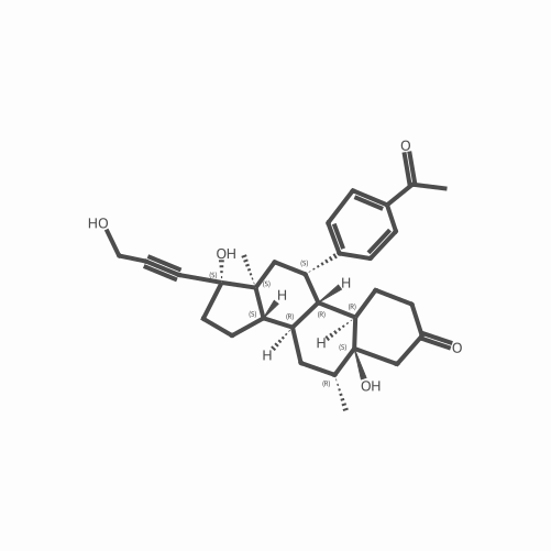 CC(=O)c1ccc([C@H]2C[C@@]3(C)[C@@H](CC[C@@]3(O)C#CCO)[C@@H]3C[C@@H](C)[C@@]4(O)CC(=O)CC[C@@H]4[C@H]32)cc1